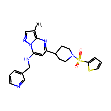 Bc1cnn2c(NCc3cccnc3)cc(C3CCN(S(=O)(=O)c4cccs4)CC3)nc12